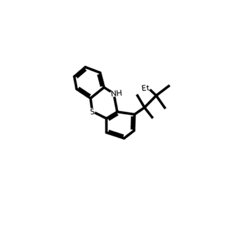 CCC(C)(C)C(C)(C)c1cccc2c1Nc1ccccc1S2